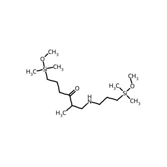 CO[Si](C)(C)CCCNCC(C)C(=O)CCC[Si](C)(C)OC